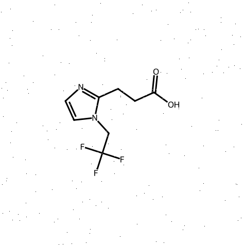 O=C(O)CCc1nccn1CC(F)(F)F